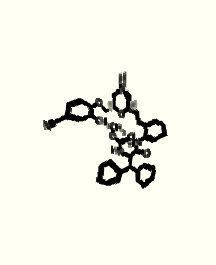 COC(=O)NC(C(=O)Nc1ccccc1CC[C@@H]1CNC[C@@H](COc2ccc(C#N)cc2C)O1)C(c1ccccc1)c1ccccc1